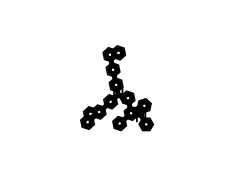 c1ccc(-c2cc(-c3cccc(N(c4ccc(-c5ccc(-c6cccc7ccccc67)cc5)cc4)c4ccc(-c5ccc6c(ccc7ccccc76)c5)cc4)c3)c3c4ccccc4n(-c4ccccc4)c3c2)cc1